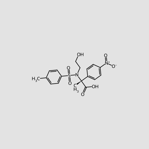 Cc1ccc(S(=O)(=O)N(CCO)[C@@](C)(C(=O)O)c2ccc([N+](=O)[O-])cc2)cc1